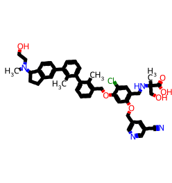 Cc1c(COc2cc(OCc3cncc(C#N)c3)c(CNC(C)(CO)C(=O)O)cc2Cl)cccc1-c1cccc(-c2ccc3c(c2)CCC3N(C)CCO)c1C